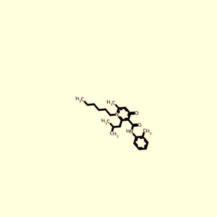 CCCCCCn1c(C)cc(=O)c(C(=O)Nc2ccccc2C)c1CC(C)C